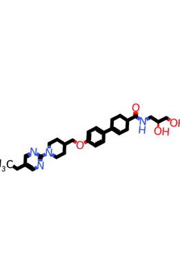 CCc1cnc(N2CCC(COc3ccc(C4=CCC(C(=O)NC[C@H](O)CO)CC4)cc3)CC2)nc1